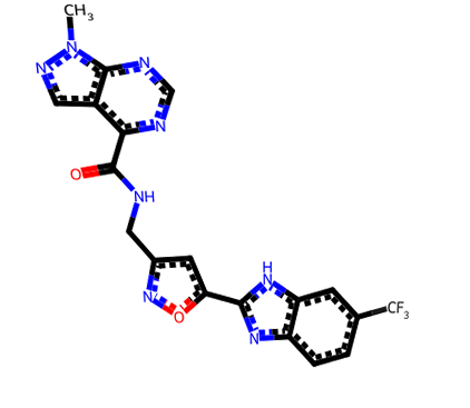 Cn1ncc2c(C(=O)NCc3cc(-c4nc5ccc(C(F)(F)F)cc5[nH]4)on3)ncnc21